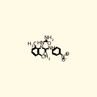 Cc1cccc(C)c1N(NC(N)=O)C(=O)Nc1ccc([N+](=O)[O-])cc1